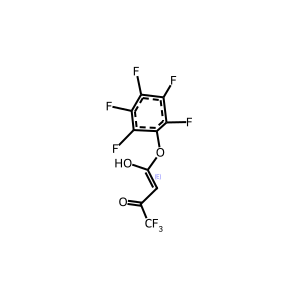 O=C(/C=C(\O)Oc1c(F)c(F)c(F)c(F)c1F)C(F)(F)F